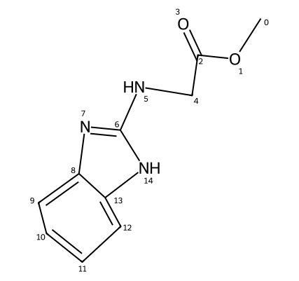 COC(=O)CNc1nc2ccccc2[nH]1